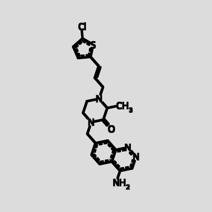 CC1C(=O)N(Cc2ccc3c(N)cnnc3c2)CCN1CC=Cc1ccc(Cl)s1